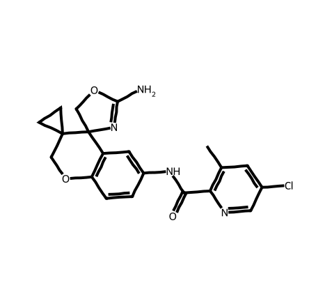 Cc1cc(Cl)cnc1C(=O)Nc1ccc2c(c1)C1(COC(N)=N1)C1(CC1)CO2